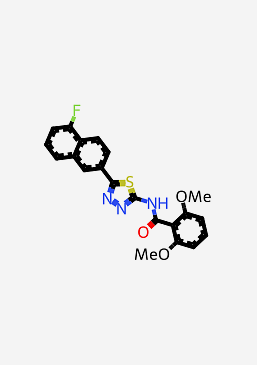 COc1cccc(OC)c1C(=O)Nc1nnc(-c2ccc3c(F)cccc3c2)s1